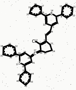 ClC1=C(C=CC2=CC(c3ccccc3)SC(c3ccccc3)=C2)CCCC1=C=C1C=C(c2ccccc2)SC(c2ccccc2)=C1